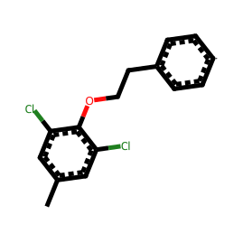 Cc1cc(Cl)c(OCCc2cc[c]cc2)c(Cl)c1